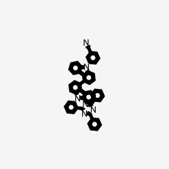 N#Cc1cccc(-n2c3ccccc3c3c(-c4cccc5c4c4ccccc4n5-c4ccccc4-c4nc(-c5ccccc5)nc(-c5ccccc5)n4)cccc32)c1